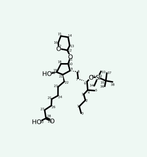 CCCCC(C)[C@H](CC[C@H]1C(OC2CCCCO2)C[C@H](O)[C@@H]1CCCCCCC(=O)O)O[Si](C)(C)C(C)(C)C